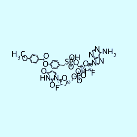 COc1ccc(C(=O)Oc2ccc(CSP(=O)(O)OC[C@H]3O[C@@H](n4cnc5c(N)ncnc54)[C@@H](F)C3OP(=O)(O)OC[C@@H]3CC(F)[C@H](n4ccc(=O)[nH]c4=O)O3)cc2)cc1